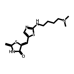 C=c1[nH]c(=O)/c(=C/c2cnc(NCCCCN(C)C)s2)s1